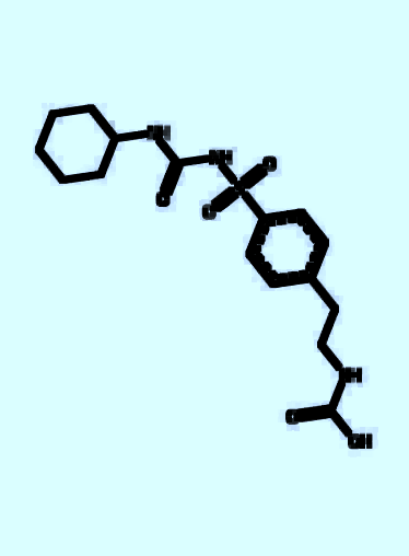 O=C(O)NCCc1ccc(S(=O)(=O)NC(=O)NC2CCCCC2)cc1